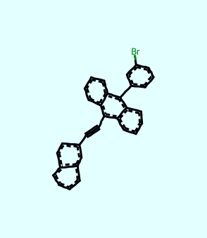 Brc1cccc(-c2c3ccccc3c(C#Cc3ccc4ccccc4c3)c3ccccc23)c1